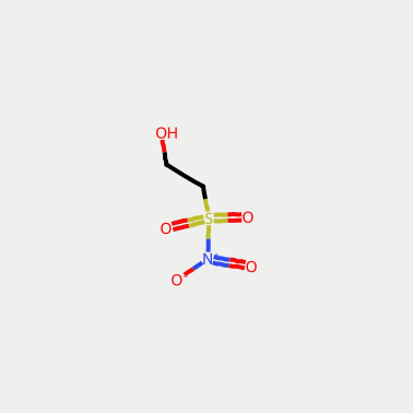 O=[N+]([O-])S(=O)(=O)CCO